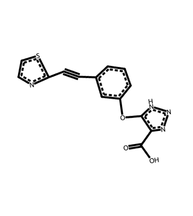 O=C(O)c1nn[nH]c1Oc1cccc(C#Cc2nccs2)c1